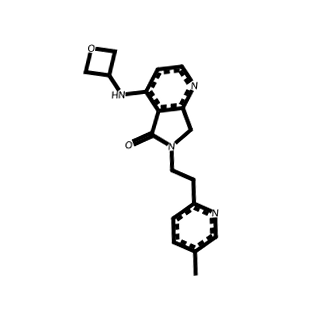 Cc1ccc(CCN2Cc3nccc(NC4COC4)c3C2=O)nc1